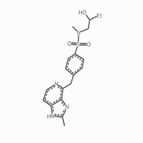 CCC(O)CN(C)S(=O)(=O)c1ccc(Cc2nccc3[nH]c(C)nc23)cc1